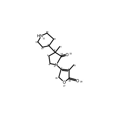 CC1=C(N2CCC(C)(C3CCNCC3)C2=O)COC1=O